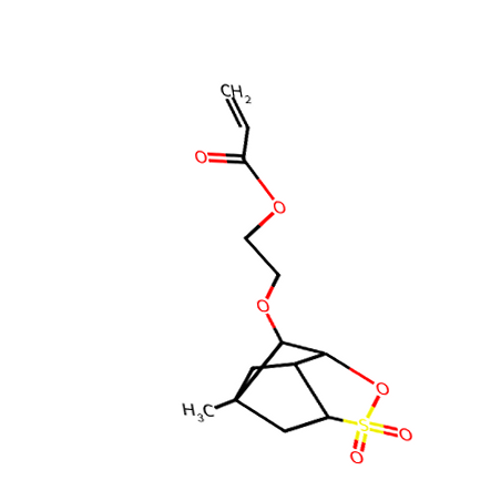 C=CC(=O)OCCOC1C2OS(=O)(=O)C3CC1(C)CC23